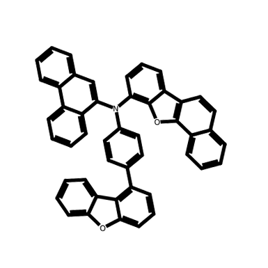 c1ccc2c(c1)cc(N(c1ccc(-c3cccc4oc5ccccc5c34)cc1)c1cccc3c1oc1c4ccccc4ccc31)c1ccccc12